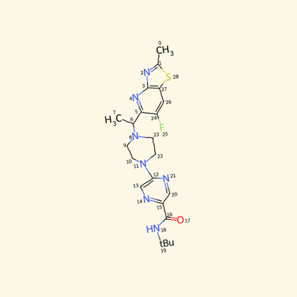 Cc1nc2nc(C(C)N3CCN(c4cnc(C(=O)NC(C)(C)C)cn4)CC3)c(F)cc2s1